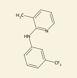 [CH2]c1cccnc1Nc1cccc(C(F)(F)F)c1